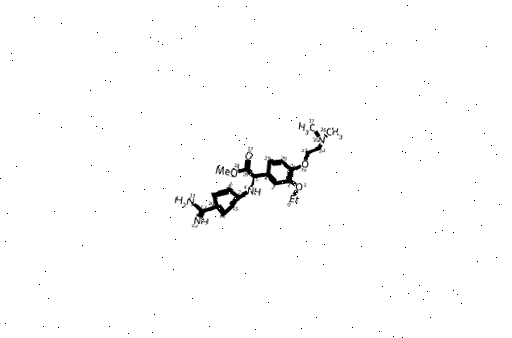 CCOc1cc([C@@H](Nc2ccc(C(=N)N)cc2)C(=O)OC)ccc1OCCN(C)C